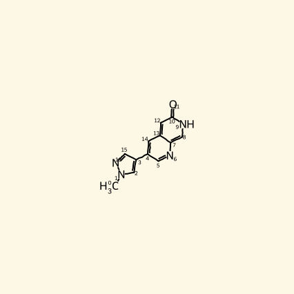 Cn1cc(-c2cnc3c[nH]c(=O)cc3c2)cn1